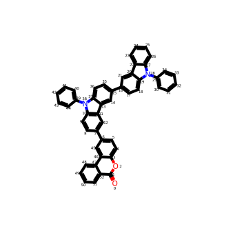 O=c1oc2ccc(-c3ccc4c(c3)c3cc(-c5ccc6c(c5)c5ccccc5n6-c5ccccc5)ccc3n4-c3ccccc3)cc2c2ccccc12